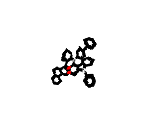 c1ccc(-c2ccc(N(c3ccccc3-c3cccc4c3ccc3ccccc34)c3cccc4c3c3ccccc3n4-c3ccccc3)cc2)cc1